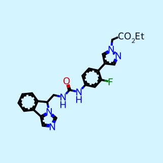 CCOC(=O)Cn1cc(-c2ccc(NC(=O)NCC3c4ccccc4-c4cncn43)cc2F)cn1